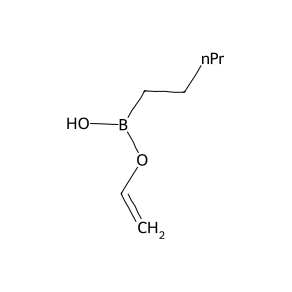 C=COB(O)CCCCC